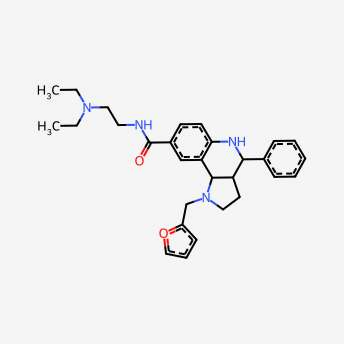 CCN(CC)CCNC(=O)c1ccc2c(c1)C1C(CCN1Cc1ccco1)C(c1ccccc1)N2